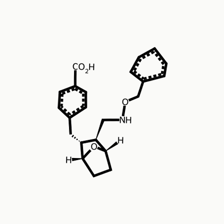 O=C(O)c1ccc(C[C@@H]2[C@@H](CNOCc3ccccc3)[C@@H]3CC[C@H]2O3)cc1